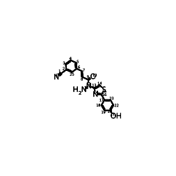 N#Cc1cccc(C=CC(=O)N(N)c2csc(-c3ccc(O)cc3)n2)c1